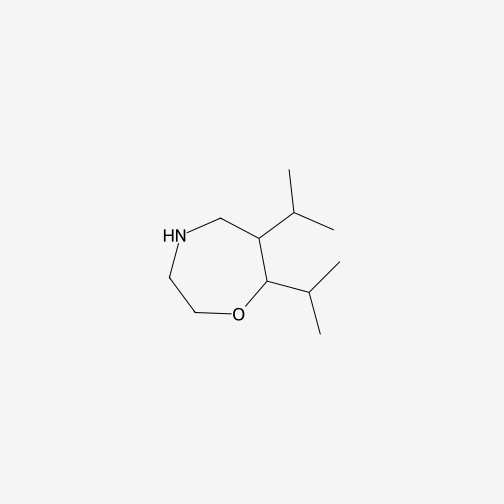 CC(C)C1CNCCOC1C(C)C